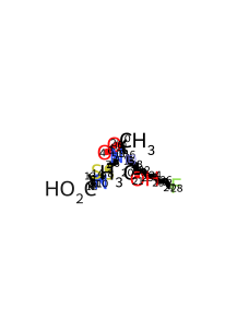 C[C@@H]1OC(=O)N(CCSc2nc(C(=O)O)cs2)[C@H]1/C=C/CC(C)(O)CCCCCCF